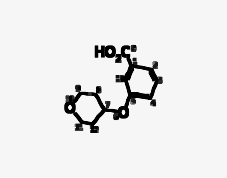 O=C(O)c1cccc(OC2CCOCC2)c1